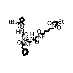 CCC1CC(=O)N(CCCCCC(=O)NCC(=O)NCC(=O)N[C@@H](Cc2ccccc2)C(=O)NCC(=O)NCOCC2(C(=O)C(C)(C)C)CCC2)C1=O